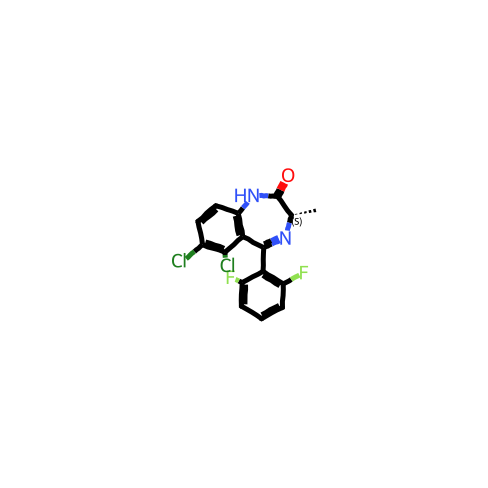 C[C@@H]1N=C(c2c(F)cccc2F)c2c(ccc(Cl)c2Cl)NC1=O